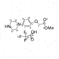 COC(=O)COc1ccc(N2CCNCC2)cc1.O=C(O)C(F)(F)F